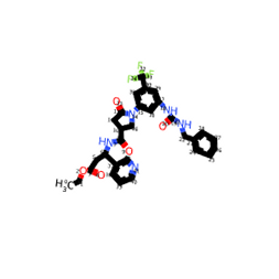 CCOC(=O)CC(NC(=O)C1CC(=O)N(c2cc(NC(=O)NCc3ccccc3)cc(C(F)(F)F)c2)C1)c1cccnc1